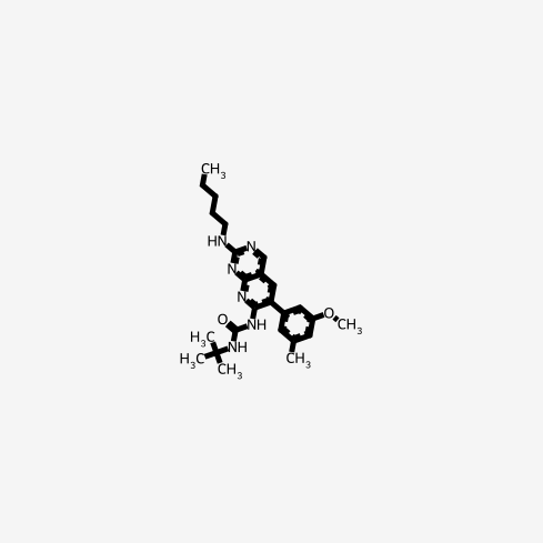 CCCCCNc1ncc2cc(-c3cc(C)cc(OC)c3)c(NC(=O)NC(C)(C)C)nc2n1